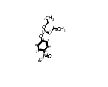 CCOP(OCC)Oc1ccc([N+](=O)[O-])cc1